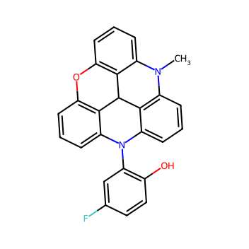 CN1c2cccc3c2C2c4c(cccc4N(c4cc(F)ccc4O)c4cccc1c42)O3